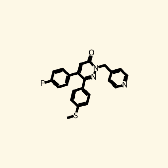 CSc1ccc(-c2nn(Cc3ccncc3)c(=O)cc2-c2ccc(F)cc2)cc1